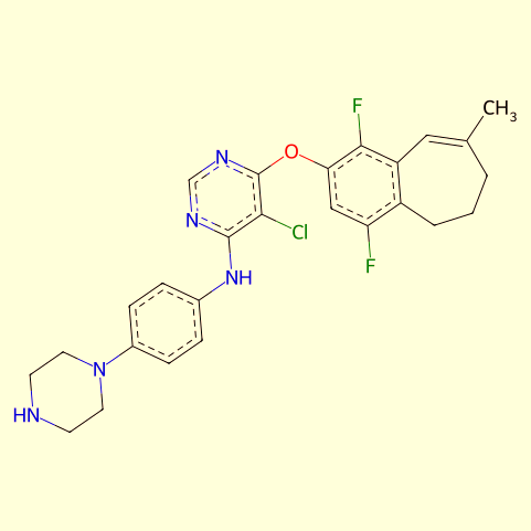 CC1=Cc2c(F)c(Oc3ncnc(Nc4ccc(N5CCNCC5)cc4)c3Cl)cc(F)c2CCC1